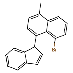 Cc1ccc(C2C=Cc3ccccc32)c2c(Br)cccc12